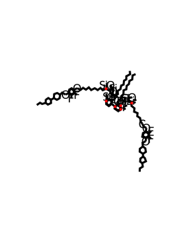 CCCCCCCCCCC(Oc1ccccc1-c1ccccc1OC(CCCCCCCCCC)[Si](C)(O[Si](C)(C)C)O[Si](C)(CCCCCCCCCCCOc1ccc(OCC2CCC(C3CCC(CCC)CC3)CC2)c(F)c1F)O[Si](C)(C)C)[Si](C)(O[Si](C)(C)C)O[Si](C)(CCCCCCCCCCCOc1ccc(OCC2CCC(C3CCC(CCC)CC3)CC2)c(F)c1F)O[Si](C)(C)C